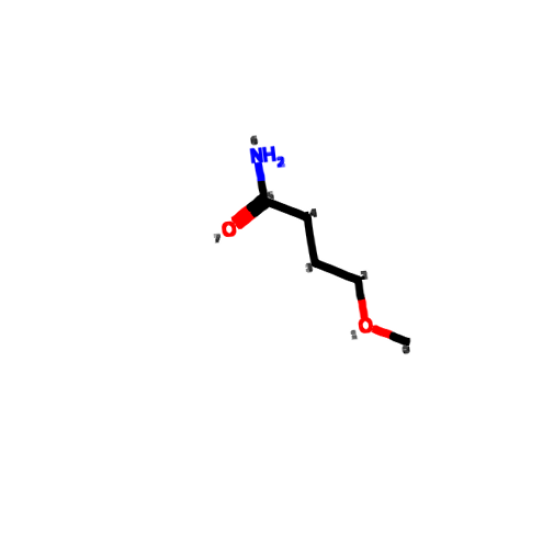 COCC[CH]C(N)=O